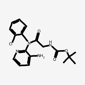 CC(C)(C)OC(=O)NCC(=O)N(c1ccccc1Cl)c1ncccc1N